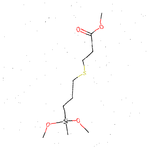 COC(=O)CCSCCC[Si](C)(OC)OC